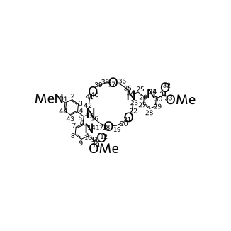 CNc1ccc(C(c2cccc(C(=O)OC)n2)N2CCOCCOCCN(Cc3cccc(C(=O)OC)n3)CCOCCOCC2)cc1